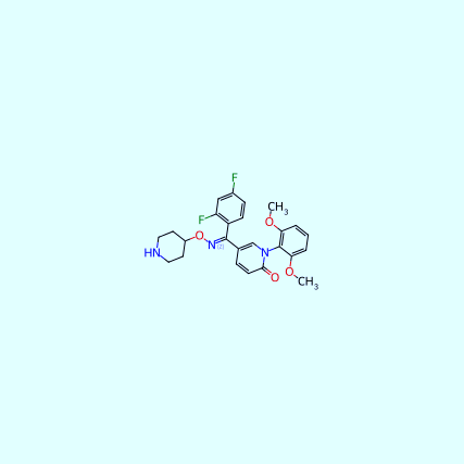 COc1cccc(OC)c1-n1cc(/C(=N/OC2CCNCC2)c2ccc(F)cc2F)ccc1=O